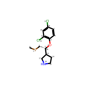 CSC[C@H](Oc1ccc(Cl)cc1Cl)C1CCNC1